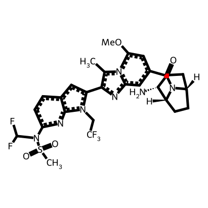 COc1cc(C(=O)N2[C@@H]3CC[C@@H](N)[C@H]2CC3)cc2nc(-c3cc4ccc(N(C(F)F)S(C)(=O)=O)nc4n3CC(F)(F)F)c(C)n12